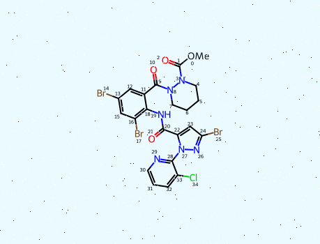 COC(=O)N1CCCCN1C(=O)c1cc(Br)cc(Br)c1NC(=O)c1cc(Br)nn1-c1ncccc1Cl